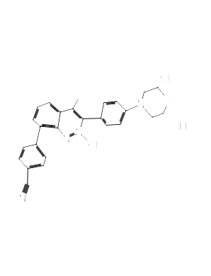 C[C@@H]1CN(c2ccc(-c3c([O-])c4cccc(-c5ccc(C#N)cc5)c4n[n+]3C)cc2)C[C@H](C)O1